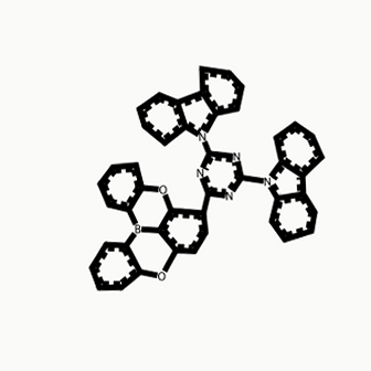 c1ccc2c(c1)Oc1ccc(-c3nc(-n4c5ccccc5c5ccccc54)nc(-n4c5ccccc5c5ccccc54)n3)c3c1B2c1ccccc1O3